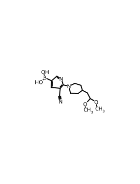 COC(CC1CCN(c2ncc(B(O)O)cc2C#N)CC1)OC